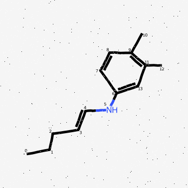 [CH2]CCC=CNc1ccc(C)c(C)c1